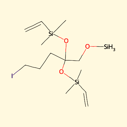 C=C[Si](C)(C)OC(CCCI)(CO[SiH3])O[Si](C)(C)C=C